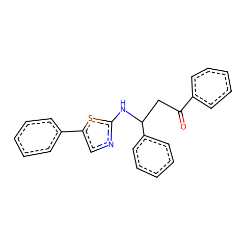 O=C(CC(Nc1ncc(-c2ccccc2)s1)c1ccccc1)c1ccccc1